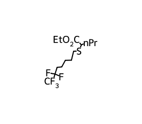 CCCC(SCCCCCC(F)(F)C(F)(F)F)C(=O)OCC